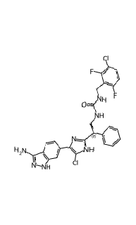 Nc1n[nH]c2cc(-c3nc([C@@H](CNC(=O)NCc4c(F)ccc(Cl)c4F)c4ccccc4)[nH]c3Cl)ccc12